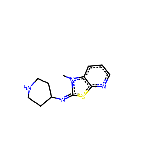 Cn1/c(=N\C2CCNCC2)sc2ncccc21